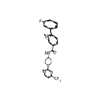 O=C(NC1CCN(c2nccc(C(F)(F)F)n2)CC1)c1ccc(-c2cccc(F)c2)nc1